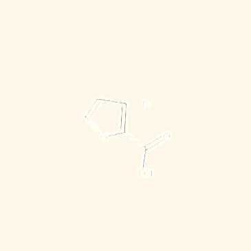 O=C(O)c1ccco1.[P]